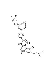 CN/C=C(/NC(=O)c1coc(-c2ccnc(NCC(F)(F)F)c2)n1)C(=N)N1CCC(CCNC)C1=O